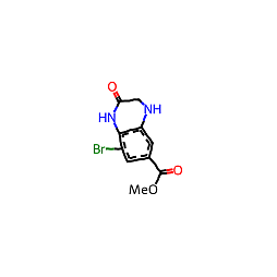 COC(=O)c1cc(Br)c2c(c1)NCC(=O)N2